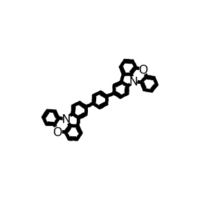 c1ccc2c(c1)Oc1cccc3c4cc(-c5ccc(-c6ccc7c(c6)c6cccc8c6n7-c6ccccc6O8)cc5)ccc4n-2c13